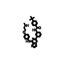 CNCCOc1ccc(Nc2nc(-c3cccc(NC(=O)c4ccc(C(C)(C)C)cc4)c3)cn3ccnc23)cc1